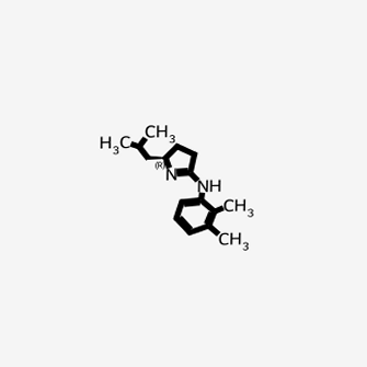 Cc1cccc(NC2=N[C@@H](CC(C)C)CC2)c1C